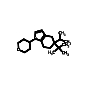 CC(C)C1(C(C)(C)C)CCc2c(ccn2C2CCOCC2)C1